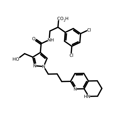 O=C(NCC(C(=O)O)c1cc(Cl)cc(Cl)c1)c1cn(CCCc2ccc3c(n2)NCCC3)nc1CO